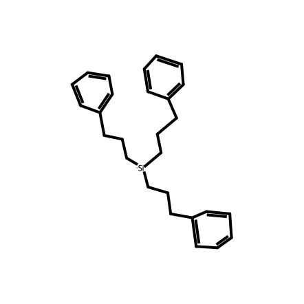 c1ccc(CCC[Si](CCCc2ccccc2)CCCc2ccccc2)cc1